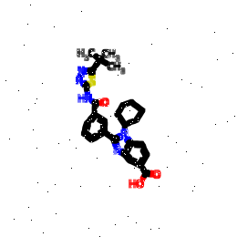 CC(C)(C)c1nnc(NC(=O)c2cccc(-c3nc4cc(C(=O)O)ccc4n3C3CCCCC3)c2)s1